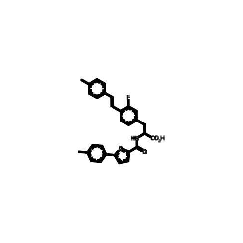 Cc1ccc(/C=C/c2ccc(CC(NC(=O)c3ccc(-c4ccc(C)cc4)o3)C(=O)O)cc2F)cc1